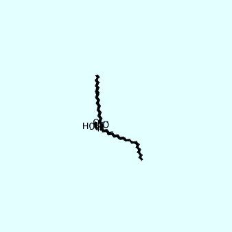 CCCCCCC=CCCCCCCCCCC(=O)N(CCCCCCCCCCC/C=C\CCCCCC)CC(=O)O